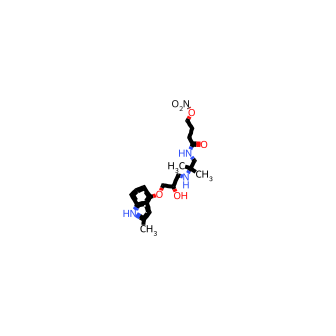 Cc1cc2c(OCC(O)CNC(C)(C)CNC(=O)CCCO[N+](=O)[O-])cccc2[nH]1